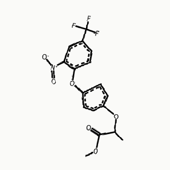 COC(=O)C(C)Oc1ccc(Oc2ccc(C(F)(F)F)cc2[N+](=O)[O-])cc1